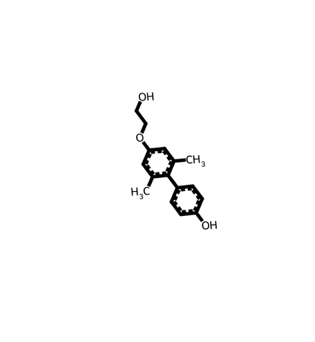 Cc1cc(OCCO)cc(C)c1-c1ccc(O)cc1